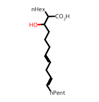 CCCCCC=CCC=CCCCC(O)C(CCCCCC)C(=O)O